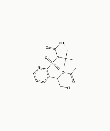 CC(=O)OC(CCl)c1cccnc1S(=O)(=O)N(C(N)=O)C(C)(C)C